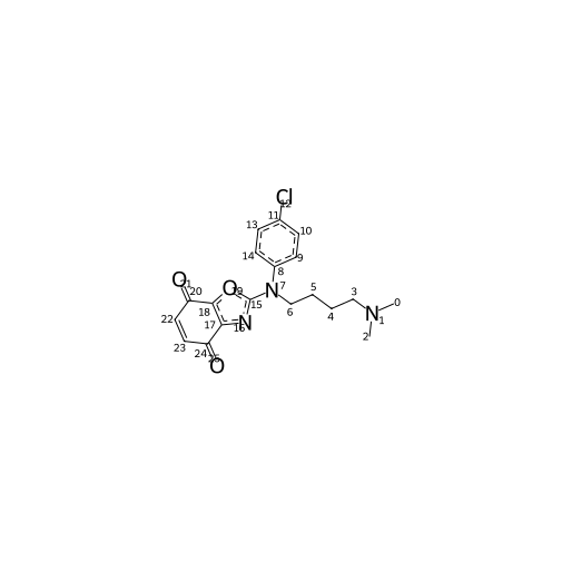 CN(C)CCCCN(c1ccc(Cl)cc1)c1nc2c(o1)C(=O)C=CC2=O